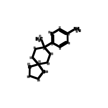 CC1(c2ccc(N)cn2)CCC2(CC1)OCCO2